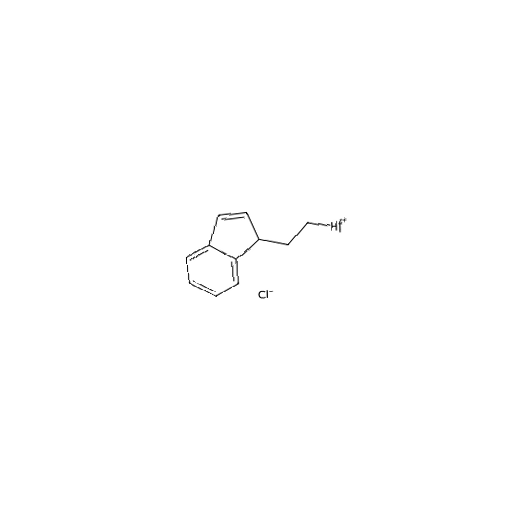 [Cl-].[Hf+][CH2]CC1C=Cc2ccccc21